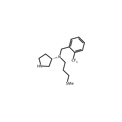 CSCCCN(Cc1ccccc1C(F)(F)F)[C@H]1CCNC1